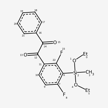 CCO[Si](C)(OCC)c1c(F)ccc(C(=O)C(=O)c2ccccc2)c1F